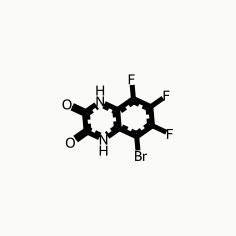 O=c1[nH]c2c(F)c(F)c(F)c(Br)c2[nH]c1=O